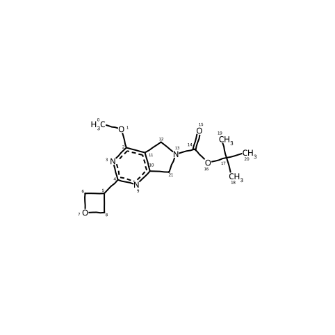 COc1nc(C2COC2)nc2c1CN(C(=O)OC(C)(C)C)C2